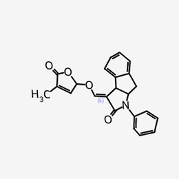 CC1=CC(O/C=C2/C(=O)N(c3ccccc3)C3Cc4ccccc4C23)OC1=O